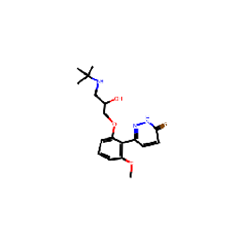 COc1cccc(OCC(O)CNC(C)(C)C)c1-c1ccc(=S)[nH]n1